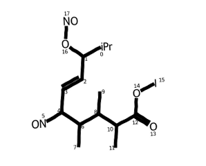 CC(C)C(/C=C/C(N=O)C(C)C(C)C(C)C(=O)OI)ON=O